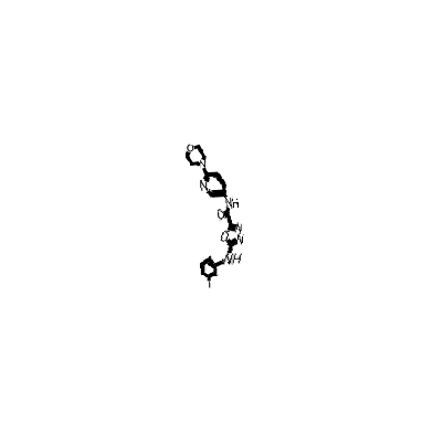 O=C(Nc1ccc(N2CCOCC2)nc1)c1nnc(Nc2cccc(I)c2)o1